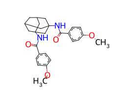 COc1ccc(C(=O)NC23CC4CC(C2)CC(NC(=O)c2ccc(OC)cc2)(C4)C3)cc1